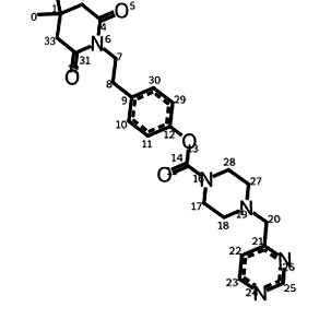 CC1(C)CC(=O)N(CCc2ccc(OC(=O)N3CCN(Cc4ccncn4)CC3)cc2)C(=O)C1